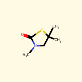 CN1CC(C)(C)SC1=O